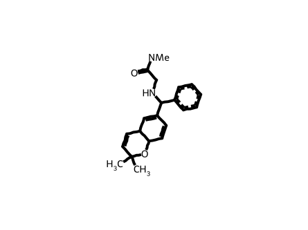 CNC(=O)CNC(C1=CC2C=CC(C)(C)OC2C=C1)c1ccccc1